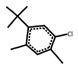 Cc1cc(C)c(C(C)(C)C)cc1Cl